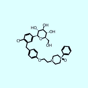 O=P1(c2ccccc2)CCN(CCOc2ccc(Cc3cc([C@@H]4O[C@H](CO)[C@@H](O)[C@H](O)[C@H]4O)ccc3Cl)cc2)CC1